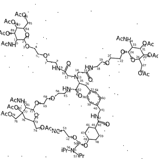 CC(=O)NC1C(OCCOCCNC(=O)CN(CC(=O)NCCOCCOC2OC(COC(C)=O)C(OC(C)=O)C(OC(C)=O)C2NC(C)=O)C(Cc2ccc(CNC(=O)C3CCC(OP(OCCC#N)N(C(C)C)C(C)C)CC3)cc2)C(=O)NCCOCCOC2OC(COC(C)=O)CC(COC(C)=O)(OC(C)=O)C2NC(C)=O)OC(COC(C)=O)C(OC(C)=O)C1OC(C)=O